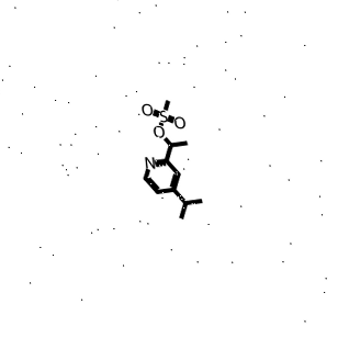 CC(C)c1ccnc(C(C)OS(C)(=O)=O)c1